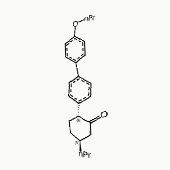 CCCOc1ccc(-c2ccc([C@H]3CC[C@H](CCC)CC3=O)cc2)cc1